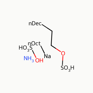 CCCCCCCCCCCCOS(=O)(=O)O.CCCCCCC[CH2][Na].N.O=S(=O)(O)O